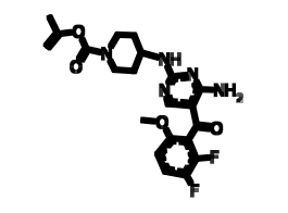 C=C(C)OC(=O)N1CCC(Nc2ncc(C(=O)c3c(OC)ccc(F)c3F)c(N)n2)CC1